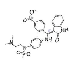 CN(C)CCN(c1ccc(N/C(=C2\C(=O)Nc3ccccc32)c2ccc([N+](=O)[O-])cc2)cc1)S(C)(=O)=O